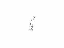 CC(C)=CC[CH]C=C(C)CCC=C(C)CCC=C(C)C